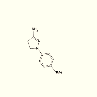 CNc1ccc(N2CCC(N)=N2)cc1